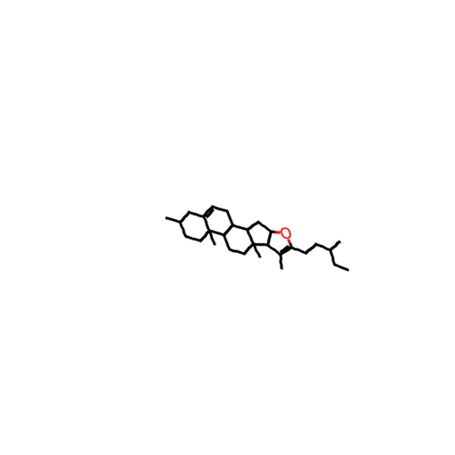 CCC(C)CCC1=C(C)C2C(CC3C4CC=C5CC(C)CCC5(C)C4CCC32C)O1